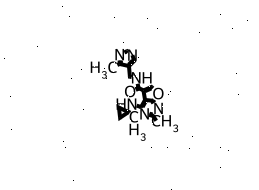 Cc1nc(NC2(C)CC2)c2c(C(=O)NCc3cncnc3C)coc2n1